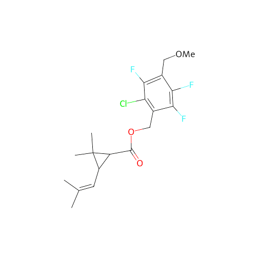 COCc1c(F)c(F)c(COC(=O)C2C(C=C(C)C)C2(C)C)c(Cl)c1F